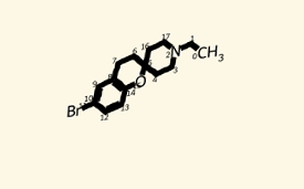 CCN1CCC2(CCc3cc(Br)ccc3O2)CC1